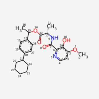 COc1ccnc(C(=O)N[C@@H](C)C(=O)OC(C)c2ccc(C3CCCCC3)cc2)c1O